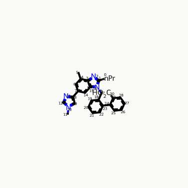 CCCc1nc2c(C)cc(-c3cn(C)cn3)cc2n1Cc1ccccc1-c1ccccc1C(=O)O